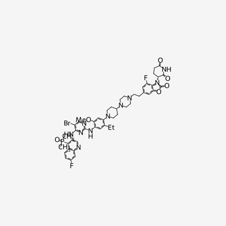 CCc1cc(Nc2ncc(Br)c(Nc3cnc4cc(F)ccc4c3P(C)(C)=O)n2)c(OC)cc1N1CCC(N2CCN(CCc3cc(F)c4c(c3)oc(=O)n4[C@H]3CCC(=O)NC3=O)CC2)CC1